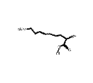 CCCCCCCCCCCCCCCCC(CCC)C(=O)OO